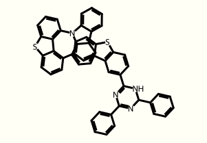 C1=CC2c3ccccc3N(c3cccc4sc5cccc(-c6ccc7sc8ccc(C9=NC(c%10ccccc%10)=NC(c%10ccccc%10)N9)cc8c7c6)c5c34)C2C=C1